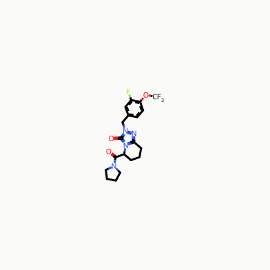 O=C(C1CCCc2nn(Cc3ccc(OC(F)(F)F)c(F)c3)c(=O)n21)N1CCCC1